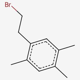 Cc1cc(C)c(CCBr)cc1C